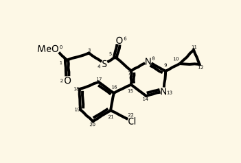 COC(=O)CSC(=O)c1nc(C2CC2)ncc1-c1ccccc1Cl